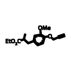 C#CCOc1ccc(CC(C)C(=O)OCC)cc1OC